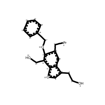 CC(C)Cc1cc2c(CCO)coc2c(CO)c1OCc1ccccc1